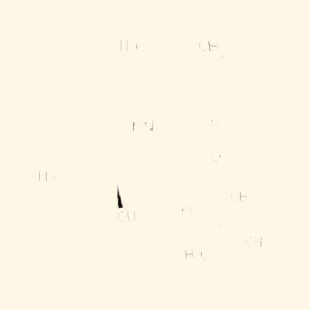 C=C(C)C(=O)N[C@H](C(=O)OC(C)(C)C)[C@@H](C)CC